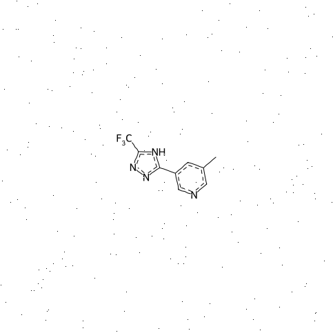 Cc1cncc(-c2nnc(C(F)(F)F)[nH]2)c1